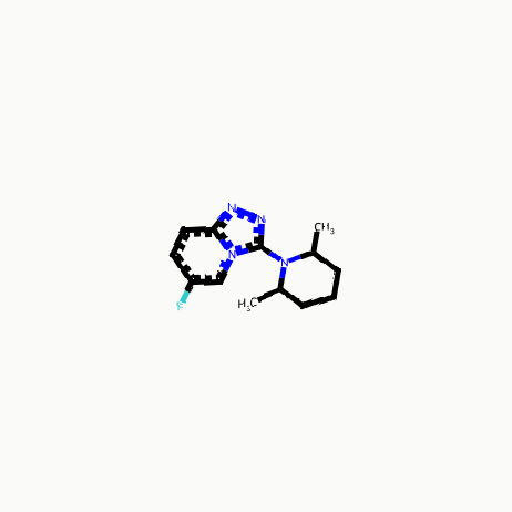 CC1CCCC(C)N1c1nnc2ccc(F)cn12